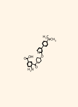 CN(C)c1ccc(-c2ccnc(OC3CCN(C(=O)c4cc(C(=O)O)ccc4N)CC3)c2)cc1